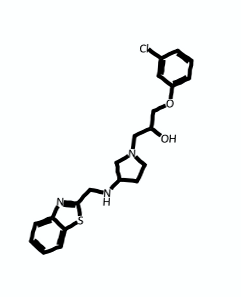 OC(COc1cccc(Cl)c1)CN1CCC(NCc2nc3ccccc3s2)C1